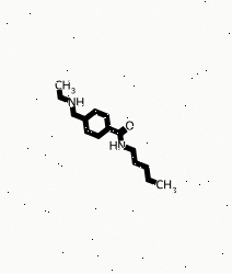 CCCCCNC(=O)C1CCC(CNCC)CC1